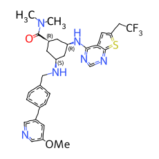 COc1cncc(-c2ccc(CN[C@@H]3C[C@H](Nc4ncnc5sc(CC(F)(F)F)cc45)C[C@H](C(=O)N(C)C)C3)cc2)c1